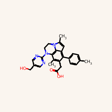 Cc1ccc(-c2c(CC(=O)O)c(C)c3c4c2cc(C)n4CCN3c2ncc(CO)cn2)cc1